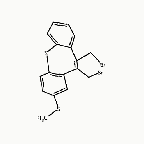 CSc1ccc2c(c1)C(CBr)=C(CBr)c1ccccc1S2